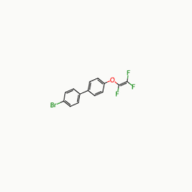 FC(F)=C(F)Oc1ccc(-c2ccc(Br)cc2)cc1